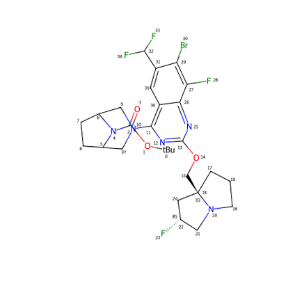 CC(C)(C)OC(=O)N1C2CCC1CN(c1nc(OC[C@@]34CCCN3C[C@H](F)C4)nc3c(F)c(Br)c(C(F)F)cc13)C2